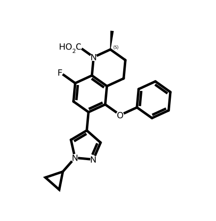 C[C@H]1CCc2c(Oc3ccccc3)c(-c3cnn(C4CC4)c3)cc(F)c2N1C(=O)O